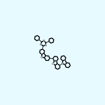 c1ccc(-c2nc(-c3ccccc3)nc(-c3ccc4oc5ccc(-c6cccc7c6oc6cccc(-n8c9ccccc9c9ccccc98)c67)cc5c4c3)n2)cc1